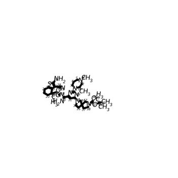 C[C@H]1CN(C)CCCN1c1nc(/C(N)=N/OC(=O)[C@@]2(C)CCCc3sc(N)c(C#N)c32)cc(N2CCC3(CCN(C(=O)OC(C)(C)C)C3)C2)n1